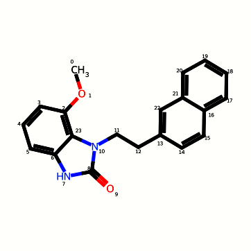 COc1cccc2[nH]c(=O)n(CCc3ccc4ccccc4c3)c12